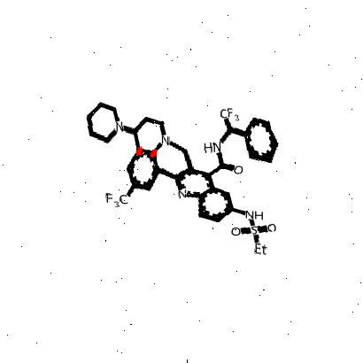 CCS(=O)(=O)Nc1ccc2nc(-c3cccc(C(F)(F)F)c3)c(CN3CCC(N4CCCCC4)CC3)c(C(=O)NC(c3ccccc3)C(F)(F)F)c2c1